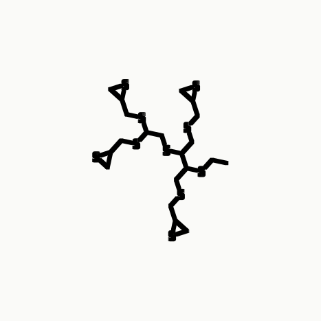 CCSC(CSCC1CS1)C(CSCC1CS1)SCC(SCC1CS1)SCC1CS1